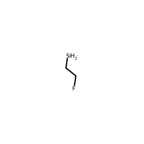 FCC[SiH2]